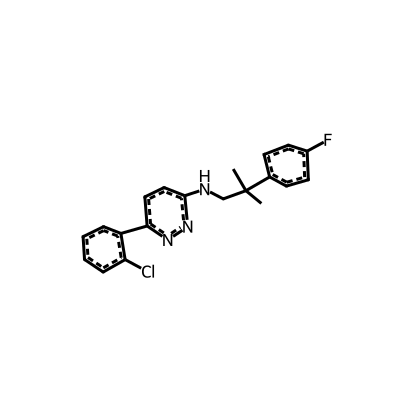 CC(C)(CNc1ccc(-c2ccccc2Cl)nn1)c1ccc(F)cc1